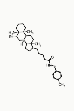 CC[C@H]1C[C@H]2C3CCC(CCCCC(=O)NSc4ccc(C)cc4)C3(C)CCC2[C@@]2(C)CCCC[C@@]12N